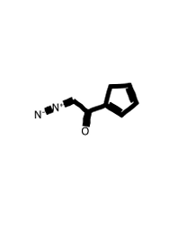 [N-]=[N+]=CC(=O)C1=CC=CC1